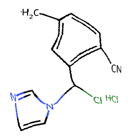 Cl.[CH2]c1ccc(C#N)c(C(Cl)n2ccnc2)c1